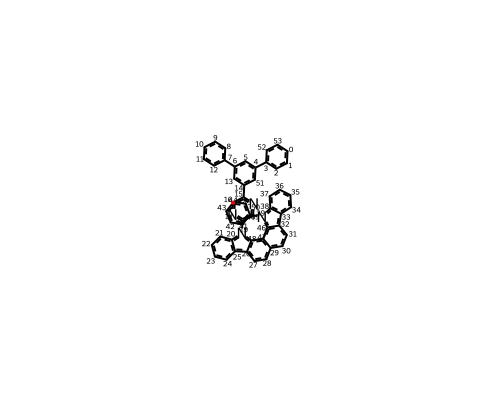 c1ccc(-c2cc(-c3ccccc3)cc(-c3cnc(-n4c5ccccc5c5ccc6ccc7c8ccccc8n(-c8ccccc8)c7c6c54)cn3)c2)cc1